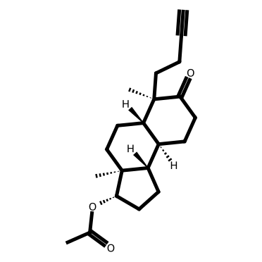 C#CCC[C@@]1(C)C(=O)CC[C@H]2[C@@H]3CC[C@H](OC(C)=O)[C@@]3(C)CC[C@@H]21